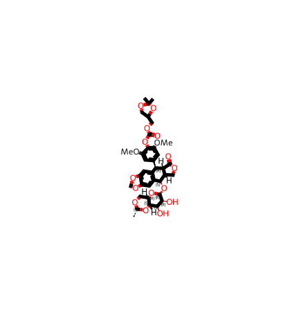 COc1cc([C@@H]2c3cc4c(cc3[C@@H](O[C@@H]3O[C@@H]5CO[C@@H](C)O[C@H]5[C@@H](O)[C@H]3O)[C@H]3COC(=O)[C@H]23)OCO4)cc(OC)c1OC(=O)OCC1COC(C)(C)O1